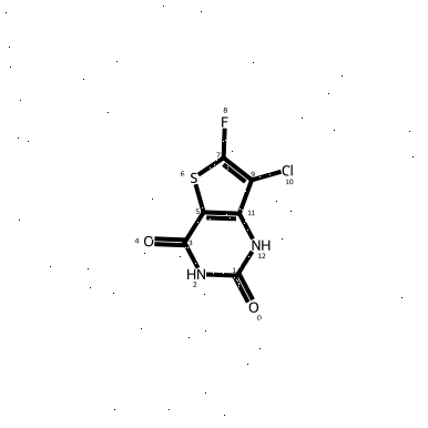 O=c1[nH]c(=O)c2sc(F)c(Cl)c2[nH]1